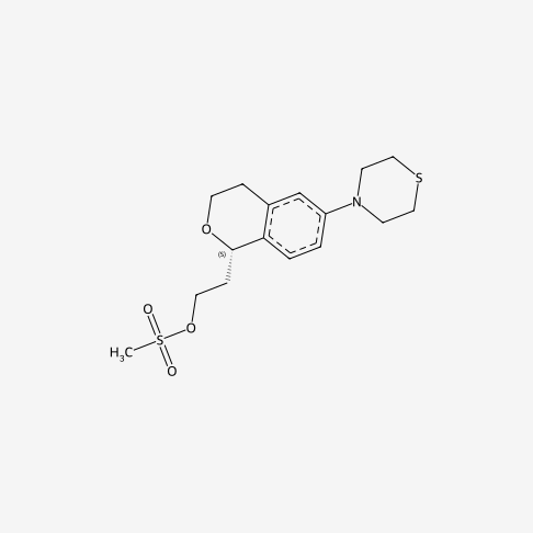 CS(=O)(=O)OCC[C@@H]1OCCc2cc(N3CCSCC3)ccc21